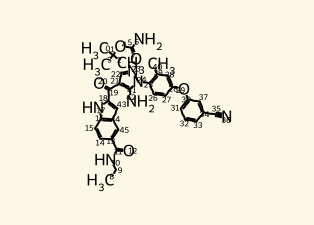 CC(C)(C)OC(N)=O.CCNC(=O)c1ccc2[nH]c(C(=O)c3cnn(-c4ccc(Oc5cccc(C#N)c5)cc4C)c3N)cc2c1